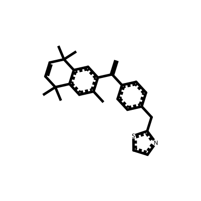 C=C(c1ccc(Cc2nccs2)cc1)c1cc2c(cc1C)C(C)(C)C=CC2(C)C